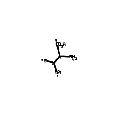 CCCC(F)[C@H](N)C(=O)O